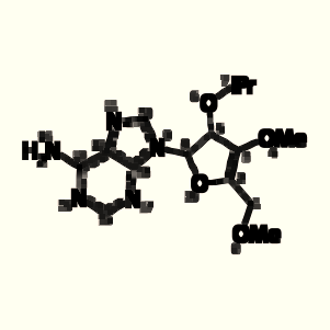 COCC1=C(OC)C(OC(C)C)C(n2cnc3c(N)ncnc32)O1